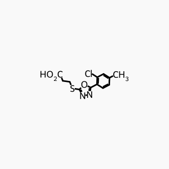 Cc1ccc(-c2nnc(SCCC(=O)O)o2)c(Cl)c1